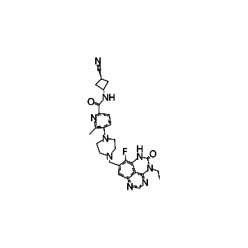 CCN1C(=O)Nc2c(F)c(CN3CCN(c4ccc(C(=O)N[C@H]5C[C@H](C#N)C5)nc4C)CC3)cc3ncnc1c23